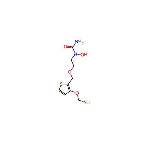 NC(=O)N(O)CCOCc1sccc1OCS